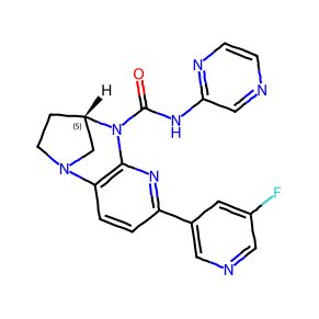 O=C(Nc1cnccn1)N1c2nc(-c3cncc(F)c3)ccc2N2CC[C@H]1C2